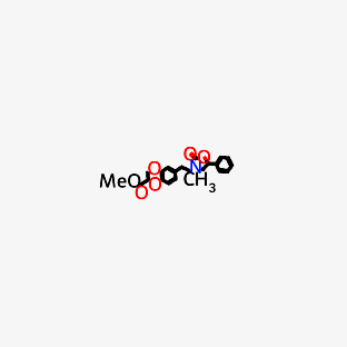 COC(=O)C1COc2cc(C[C@@H](C)N3CC(c4ccccc4)OC3=O)ccc2O1